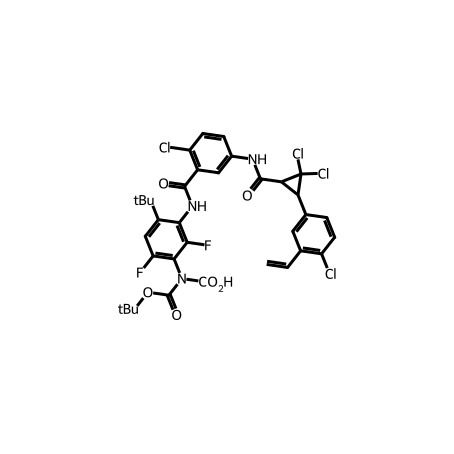 C=Cc1cc(C2C(C(=O)Nc3ccc(Cl)c(C(=O)Nc4c(C(C)(C)C)cc(F)c(N(C(=O)O)C(=O)OC(C)(C)C)c4F)c3)C2(Cl)Cl)ccc1Cl